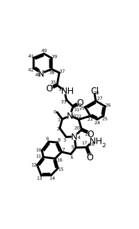 CC1CCN(C(Cc2cccc3ccccc23)C(N)=O)C(=O)C(c2cccc(Cl)c2)N1C(=O)CNC(=O)Cc1ccccn1